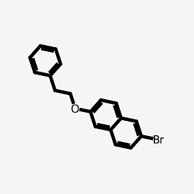 Brc1ccc2cc(OCCc3ccccc3)ccc2c1